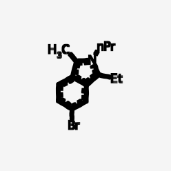 CCCn1c(C)c2ccc(Br)cc2c1CC